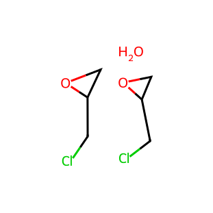 ClCC1CO1.ClCC1CO1.O